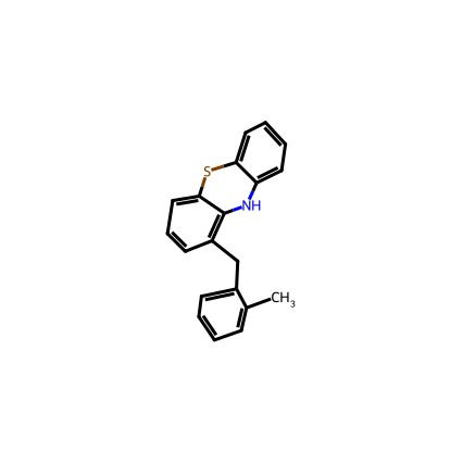 Cc1ccccc1Cc1cccc2c1Nc1ccccc1S2